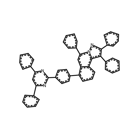 c1ccc(-c2cc(-c3ccccc3)nc(-c3ccc(-c4cccc5c4cc(-c4ccccc4)n4nc(-c6ccccc6)c(-c6ccccc6)c54)cc3)n2)cc1